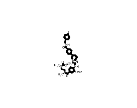 COc1cc(C(=O)N(C)CCN(C)C(=O)OC(C)(C)C)ccc1Nc1nc2ccc(-c3ccc(C(=O)NCc4ccc(F)cc4)cc3)cn2n1